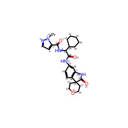 CC(C)n1nccc1C(=O)NC(C(=O)Nc1ccc2c(c1)NC(=O)C21CCOCC1)C1CCCCC1